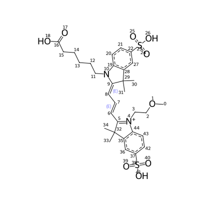 COCC[N+]1=C(/C=C/C=C2/N(CCCCCC(=O)O)c3ccc(S(=O)(=O)O)cc3C2(C)C)C(C)(C)c2cc(S(=O)(=O)O)ccc21